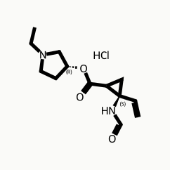 C=C[C@@]1(NC=O)CC1C(=O)O[C@@H]1CCN(CC)C1.Cl